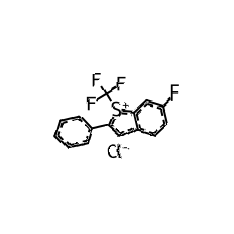 Fc1ccc2cc(-c3ccccc3)[s+](C(F)(F)F)c2c1.[Cl-]